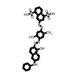 Cc1cc(N=Nc2ccc3cc(Nc4ccccc4)ccc3c2O)c(O)cc1N=Nc1cc(S(=O)(=O)O)c2cccc(S(=O)(=O)O)c2c1